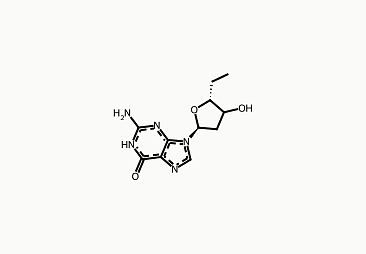 CC[C@H]1O[C@H](n2cnc3c(=O)[nH]c(N)nc32)CC1O